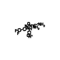 NCCC[C@H](N)CNC(=O)c1nc2cc(-c3ccc(F)c(F)c3)ccc2n1Cc1ccccc1.[Cl-].[H+]